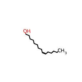 CCCCC/C=C\CCCCCCCCO